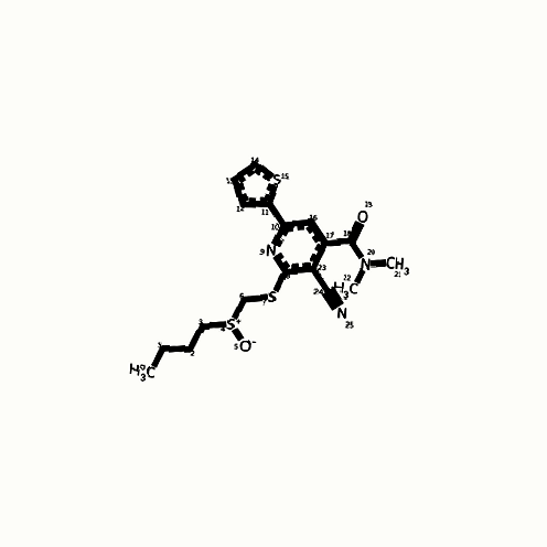 CCCC[S+]([O-])CSc1nc(-c2cccs2)cc(C(=O)N(C)C)c1C#N